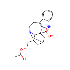 COC(=O)C12CC3CC(CCOC(C)=O)C1N(CCc1c2[nH]c2ccccc12)C3